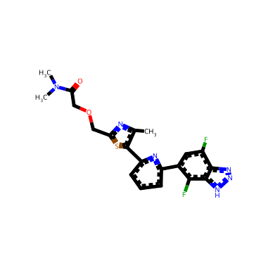 Cc1nc(COCC(=O)N(C)C)sc1-c1cccc(-c2cc(F)c3nn[nH]c3c2F)n1